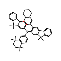 Cc1cc2c(cc1-c1cc3c(cc1N(c1ccc4c(c1)C(C)(C)CCC4(C)C)c1ccc4c(c1)C(C)(C)c1ccccc1-4)C(C)(C)c1ccccc1-3)CCCC2